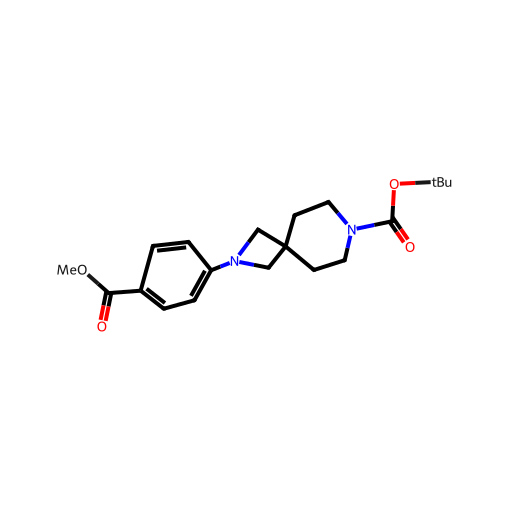 COC(=O)c1ccc(N2CC3(CCN(C(=O)OC(C)(C)C)CC3)C2)cc1